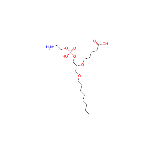 CCCCCCCCOC[C@H](CO[P@](=O)(O)OCCN)OCCCCC(=O)O